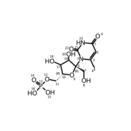 O=c1cc(I)n([C@]2(CO)O[C@H](COP(=O)(O)O)C(O)C2O)c(=O)[nH]1